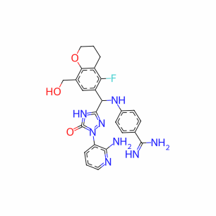 N=C(N)c1ccc(NC(c2nn(-c3cccnc3N)c(=O)[nH]2)c2cc(CO)c3c(c2F)CCCO3)cc1